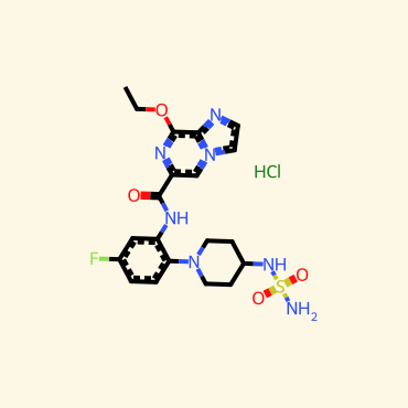 CCOc1nc(C(=O)Nc2cc(F)ccc2N2CCC(NS(N)(=O)=O)CC2)cn2ccnc12.Cl